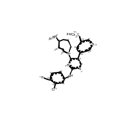 CC(=O)NC1CCN(c2nc(Nc3ccc(F)c(Cl)c3)ncc2-c2cncc(C(=O)O)c2)CC1